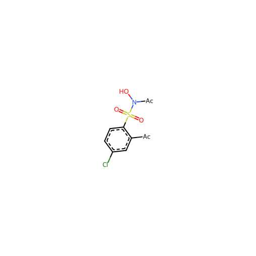 CC(=O)c1cc(Cl)ccc1S(=O)(=O)N(O)C(C)=O